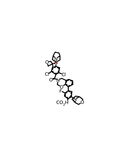 O=C(O)c1cc(F)c(-c2cccc3c2OCN(C(=O)c2c(Cl)cc(N4CC5CCC(C4)N5CC4(F)COC4)cc2Cl)C3)cc1N1C2CCC1COC2